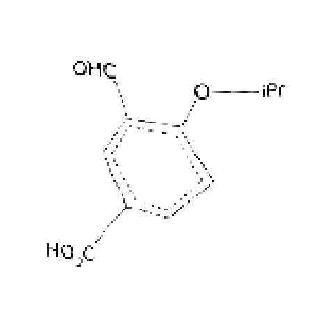 CC(C)Oc1ccc(C(=O)O)cc1C=O